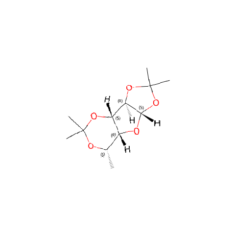 C[C@@H]1OC(C)(C)O[C@@H]2[C@H]3OC(C)(C)O[C@@H]3O[C@@H]21